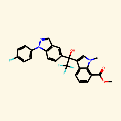 COC(=O)c1cccc2c(C(O)(c3ccc4c(cnn4-c4ccc(F)cc4)c3)C(F)(F)F)cn(C)c12